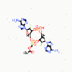 CC(C)(C)C(=O)OCSP1(=O)OC[C@H]2O[C@@H](n3cnc4c(N)ncnc43)C(F)C2OP(=O)(O)OC[C@H]2C[C@@H](n3cnc4c(N)ncnc43)C(F)C2O1